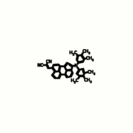 Cc1cc(N(c2cc(C)c(C)c(C)c2)c2ccc3c4ccc(C=C(C#N)C#N)c5cccc(c6cccc2c63)c54)cc(C)c1C